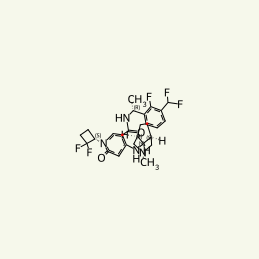 C[C@@H](NC(=O)c1cn([C@H]2CCC2(F)F)c(=O)cc1N[C@@H]1[C@@H]2CC[C@H]1CN(C)C2)c1cccc(C(F)F)c1F